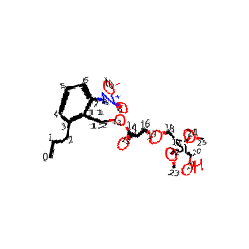 CCCc1cccc([N+](=O)[O-])c1COC(=O)COC[Si](CO)(OC)OC